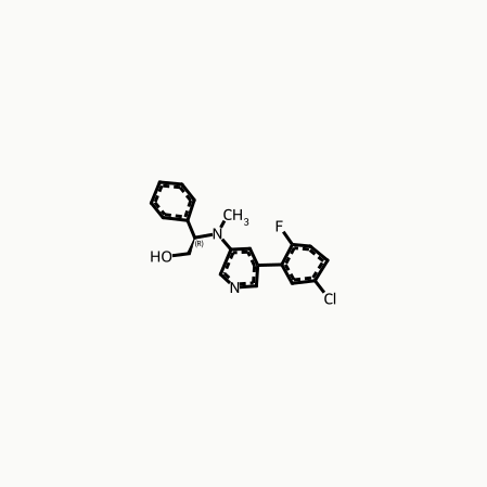 CN(c1cncc(-c2cc(Cl)ccc2F)c1)[C@@H](CO)c1ccccc1